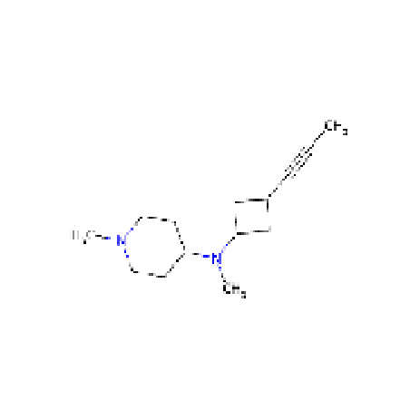 CC#CC1CC(N(C)C2CCN(C)CC2)C1